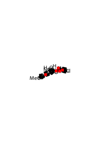 COC1CCN(C2CCN(c3ccc(NC(=O)c4cnn(-c5ccc(Cl)cc5)c4C)cc3C#N)CC2)CC1.O